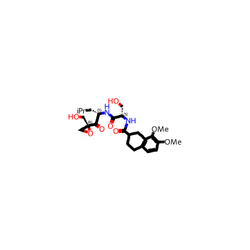 COc1ccc2c(c1OC)CC(C(=O)N[C@@H](CO)C(=O)N[C@@H](CC(C)C)C(=O)[C@@]1(CO)CO1)CC2